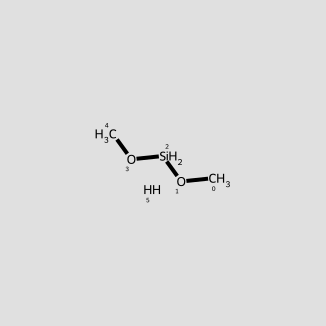 CO[SiH2]OC.[HH]